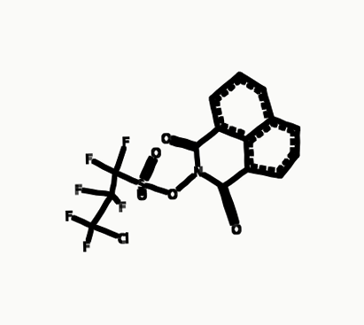 O=C1c2cccc3cccc(c23)C(=O)N1OS(=O)(=O)C(F)(F)C(F)(F)C(F)(F)Cl